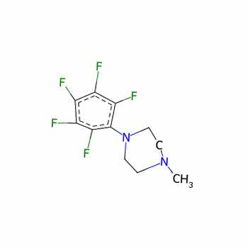 CN1CCN(c2c(F)c(F)c(F)c(F)c2F)CC1